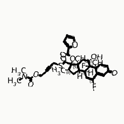 C[C@@H]1C[C@H]2[C@@H]3C[C@H](F)C4=CC(=O)C=C[C@]4(C)[C@@]3(F)[C@@H](O)C[C@]2(C)[C@@]1(OC(=O)c1ccco1)C(=O)SCC#CCOC(=O)N(C)C